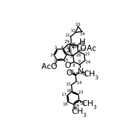 CC(=O)Oc1ccc2c3c1OC1C(N(C)C(=O)CCc4ccc(C)c(C)c4)CC[C@@]4(OC(C)=O)[C@@H](C2)N(CC2CC2)CC[C@]314